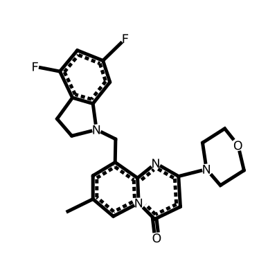 Cc1cc(CN2CCc3c(F)cc(F)cc32)c2nc(N3CCOCC3)cc(=O)n2c1